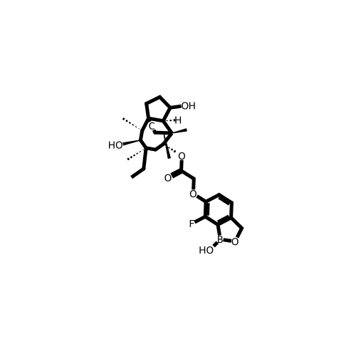 CC[C@]1(C)C[C@@H](OC(=O)COc2ccc3c(c2F)B(O)OC3)[C@]2(C)[C@H](C)CC[C@]3(CCC(O)[C@H]32)[C@@H](C)[C@@H]1O